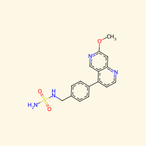 COc1cc2nccc(-c3ccc(CNS(N)(=O)=O)cc3)c2cn1